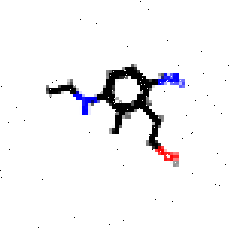 CCNc1ccc(N)c(CCO)c1C